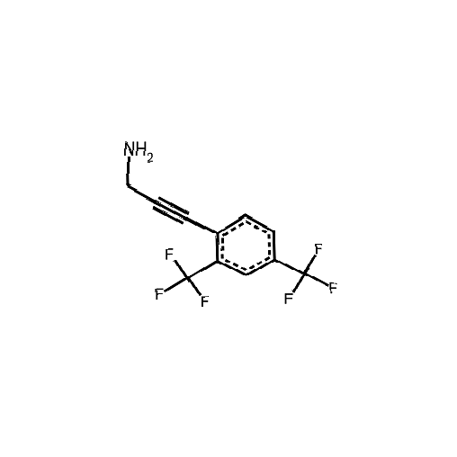 NCC#Cc1ccc(C(F)(F)F)cc1C(F)(F)F